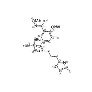 CCC[CH2][Sn]([CH2]CCC)([CH2]CCC)/[C](=C/CCCc1nc(C)no1)c1cc(C)c(OC)c(C(F)=NOC)c1